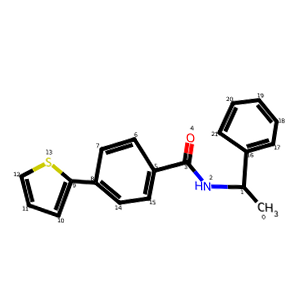 CC(NC(=O)c1ccc(-c2cccs2)cc1)c1ccccc1